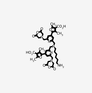 Cc1oc(-c2cc(CN3CC(=O)OC(=O)C3)nc(CN(CCCCCCN)Cc3cc(-c4oc(C)c(C(=O)O)c4C)cc(CN4CC(=O)OC(=O)C4)n3)c2)c(C)c1C(=O)O